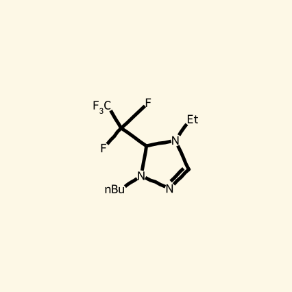 CCCCN1N=CN(CC)C1C(F)(F)C(F)(F)F